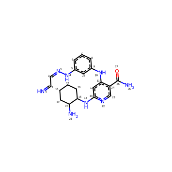 N=C/C=N\Nc1cccc(Nc2cc(NC3CCCCC3N)ncc2C(N)=O)c1